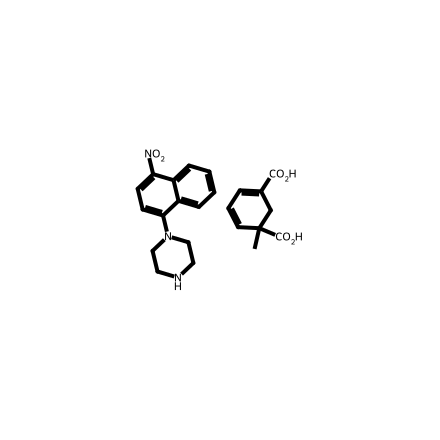 CC1(C(=O)O)C=CC=C(C(=O)O)C1.O=[N+]([O-])c1ccc(N2CCNCC2)c2ccccc12